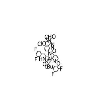 CN(SC=O)c1nn(C)c2c(-n3c(C(Cc4cc(F)cc(F)c4)NC(=O)OC(C)(C)C)nc4nc(Oc5ccc(F)cc5F)ccc4c3=O)ccc(OCl)c12